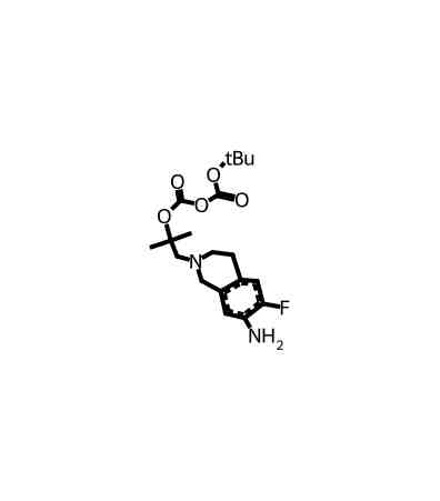 CC(C)(C)OC(=O)OC(=O)OC(C)(C)CN1CCc2cc(F)c(N)cc2C1